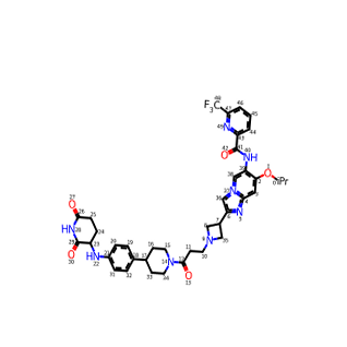 CC(C)Oc1cc2nc(C3CN(CCC(=O)N4CCC(c5ccc(NC6CCC(=O)NC6=O)cc5)CC4)C3)cn2cc1NC(=O)c1cccc(C(F)(F)F)n1